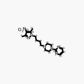 Cc1nn(CCCCN2CCN(c3ncccn3)CC2)c(C)c1[N+](=O)[O-]